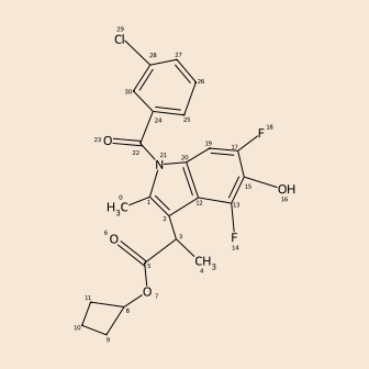 Cc1c(C(C)C(=O)OC2CCC2)c2c(F)c(O)c(F)cc2n1C(=O)c1cccc(Cl)c1